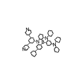 c1ccc(-c2ccc3c(c2)N(c2cc(-c4ccncc4)cc(-c4ccncc4)c2)c2cccc4c2B3c2ccc(N(c3ccccc3)c3ccccc3)cc2N4c2ccccc2)cc1